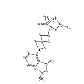 Cn1cc(Cl)c2c(N3CC4(CC(N(CC(F)F)S(N)(=O)=O)C4)C3)ncnc21